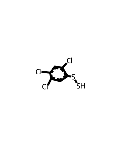 SSc1cc(Cl)c(Cl)cc1Cl